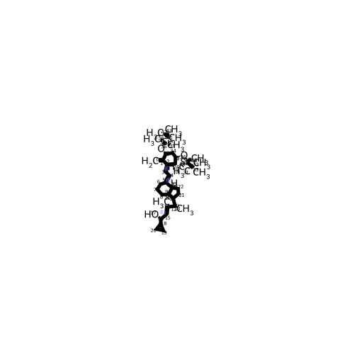 C=C1/C(=C/C=C2\CCC[C@]3(C)C([C@H](C)/C=C/[C@H](O)C4CC4)CC[C@@H]23)C[C@@H](O[Si](C)(C)C(C)(C)C)C[C@@H]1O[Si](C)(C)C(C)(C)C